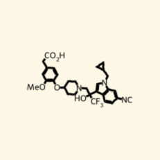 [C-]#[N+]c1ccc2c(C(O)(CN3CCC(Oc4ccc(CC(=O)O)cc4OC)CC3)C(F)(F)F)cn(CC3CC3)c2c1